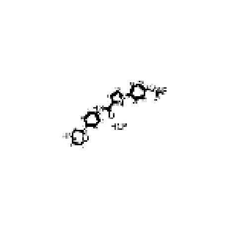 Cl.O=C(Nc1ccc([C@@H]2CNCCO2)cc1)c1ccn(-c2ccc(OC(F)F)cc2)n1